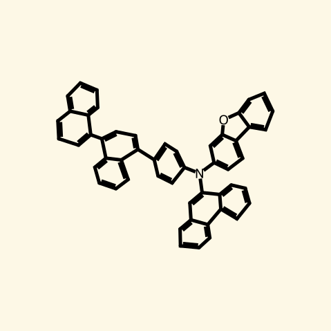 c1ccc2c(-c3ccc(-c4ccc(N(c5ccc6c(c5)oc5ccccc56)c5cc6ccccc6c6ccccc56)cc4)c4ccccc34)cccc2c1